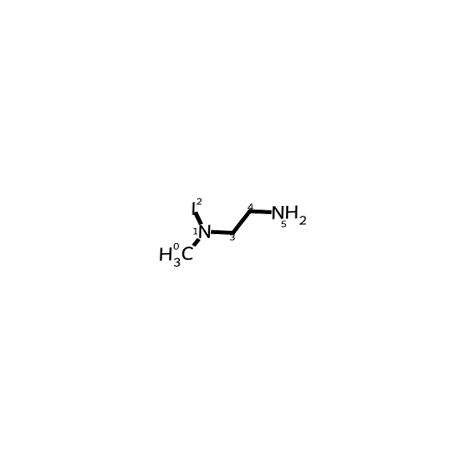 CN(I)CCN